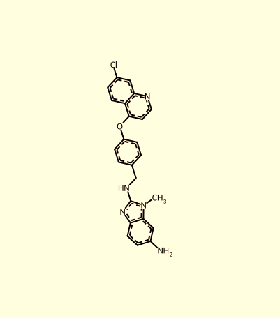 Cn1c(NCc2ccc(Oc3ccnc4cc(Cl)ccc34)cc2)nc2ccc(N)cc21